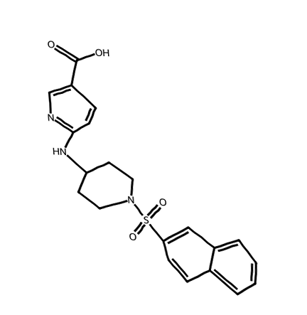 O=C(O)c1ccc(NC2CCN(S(=O)(=O)c3ccc4ccccc4c3)CC2)nc1